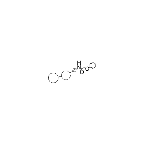 O=C(COc1ccccc1)NC12CC(C3CCCCC(C4CCCCCCCCC4)CCC3)(C1)C2